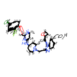 O=C(O)c1ccc2nc(CN3CCC(Nc4ccnc(COc5ccc(Cl)cc5F)n4)CC3)n(CC3CCO3)c2c1